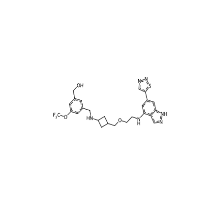 OCc1cc(CNC2CC(COCCNc3cc(-c4cnns4)cc4[nH]ncc34)C2)cc(OC(F)(F)F)c1